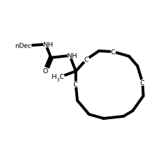 CCCCCCCCCCNC(=O)NC1(C)CCCCCCCCCCCCC1